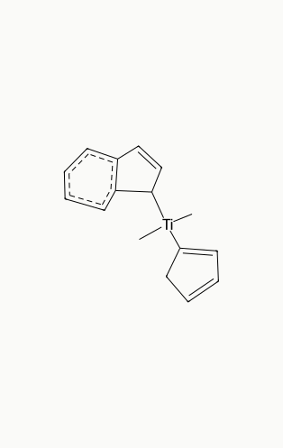 [CH3][Ti]([CH3])([C]1=CC=CC1)[CH]1C=Cc2ccccc21